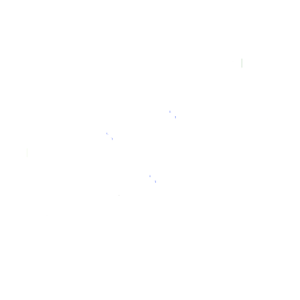 Cc1csc(Cl)c1Nc1nc2c(F)cccc2[nH]1